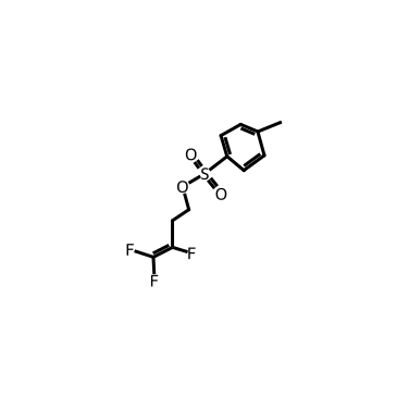 Cc1ccc(S(=O)(=O)OCCC(F)=C(F)F)cc1